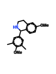 COc1ccc2c(c1)CCNC2c1cc(C)c(OC)c(C)c1